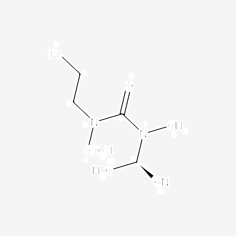 CC(C)CCN(C(=O)O)C(=O)N(C)[C@H](C)C#N